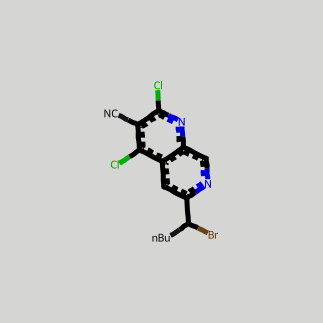 CCCCC(Br)c1cc2c(Cl)c(C#N)c(Cl)nc2cn1